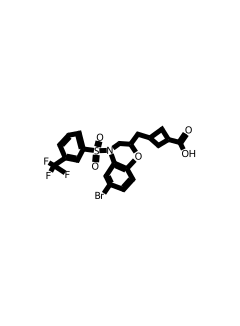 O=C(O)C1CC(CC2CN(S(=O)(=O)c3cccc(C(F)(F)F)c3)c3cc(Br)ccc3O2)C1